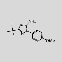 COc1ccc(-n2nc(C(C)(F)F)cc2N)cc1